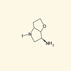 N[C@H]1CN(I)C2CCOC21